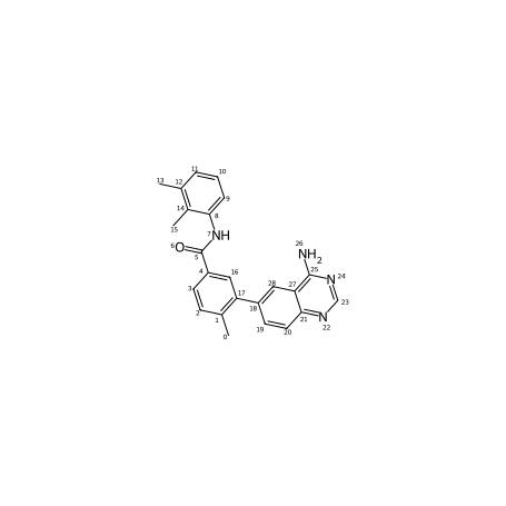 Cc1ccc(C(=O)Nc2cccc(C)c2C)cc1-c1ccc2ncnc(N)c2c1